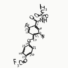 CS(=O)(=O)NC(=O)c1cc(F)c(COc2ccc(OC(F)(F)F)cc2)cc1F